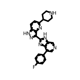 Fc1ccc(-c2cncc3[nH]c(-c4n[nH]c5ccc(C6CCNCC6)nc45)nc23)cc1